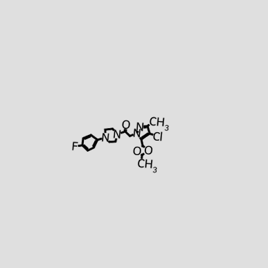 Cc1nn(CC(=O)N2CCN(c3ccc(F)cc3)CC2)c(C2OC(C)O2)c1Cl